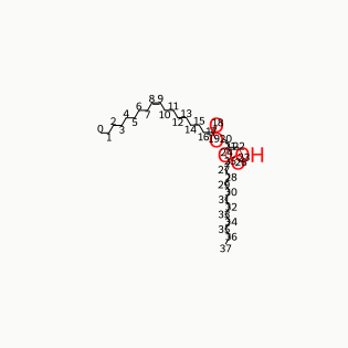 CCCCCCCC/C=C\CCCCCCCC(=O)OCC(CO)OC(=O)CCCCCCCCCCC